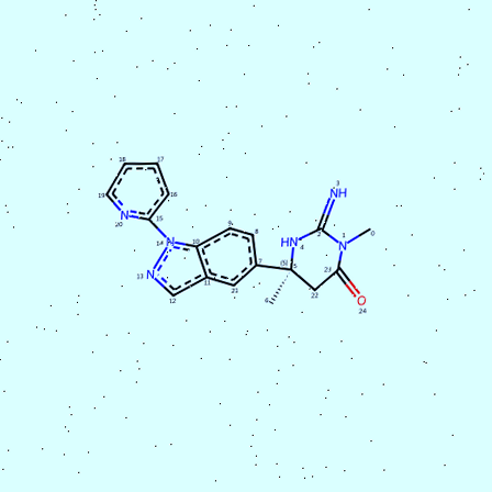 CN1C(=N)N[C@](C)(c2ccc3c(cnn3-c3ccccn3)c2)CC1=O